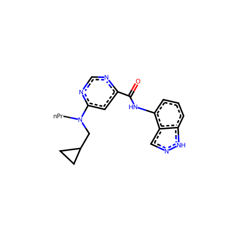 CCCN(CC1CC1)c1cc(C(=O)Nc2cccc3[nH]ncc23)ncn1